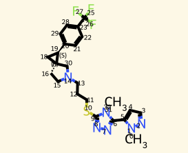 Cn1nccc1-c1nnc(SCCCN2CC[C@@]3(C[C@H]3c3ccc(C(F)(F)F)cc3)C2)n1C